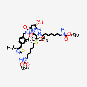 Cc1ncsc1-c1ccc(CNC(=O)[C@@H]2C[C@@H](O)CN2C(=O)[C@@H](NC(=O)CCCCCCNC(=O)OC(C)(C)C)C(C)(C)SCCCCCCNC(=O)OC(C)(C)C)cc1